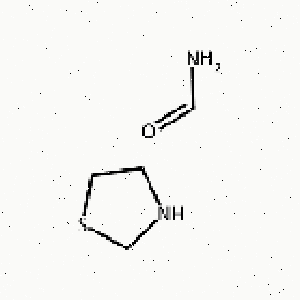 C1CSCN1.NC=O